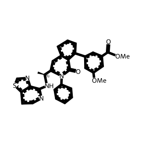 COC(=O)c1cc(OC)cc(-c2cccc3cc([C@H](C)Nc4nccc5scnc45)n(-c4ccccc4)c(=O)c23)c1